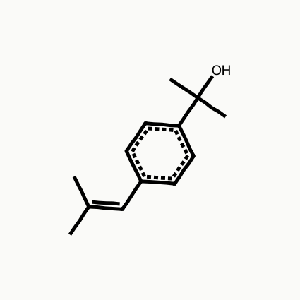 CC(C)=Cc1ccc(C(C)(C)O)cc1